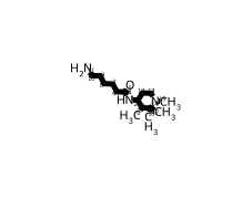 CC1C(NC(=O)CCCCCN)CCN(C)C1(C)C